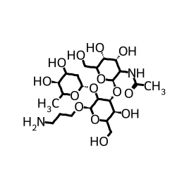 CC(=O)NC1[C@@H](O[C@@H]2C(O[C@H]3CC(O)[C@H](O)C(C)O3)[C@H](OCCCN)OC(CO)[C@@H]2O)OC(CO)[C@H](O)[C@@H]1O